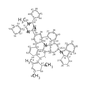 CC1=CC(C)=C(C2Cc3c4n(c5ccc(-n6c7c(c8ccccc86)CCC=C7)cc35)-c3c(-c5ccccc5)cc(C5=NC(c6ccccc6)N(C)C(c6ccccc6)=N5)cc3C3C=CCC2=C43)C(C)C1